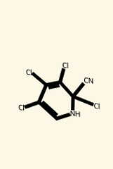 N#CC1(Cl)NC=C(Cl)C(Cl)=C1Cl